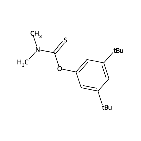 CN(C)C(=S)Oc1cc(C(C)(C)C)cc(C(C)(C)C)c1